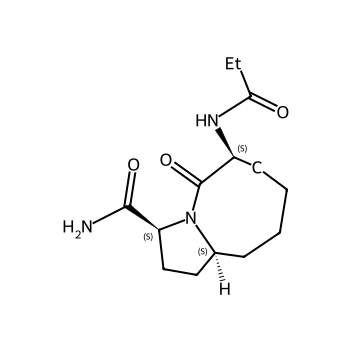 CCC(=O)N[C@H]1CCCC[C@H]2CC[C@@H](C(N)=O)N2C1=O